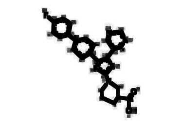 O=C(O)C1CCCN(c2nc(-c3ccc(-c4ccc(F)cc4)cc3)c(-c3cncnc3)s2)C1